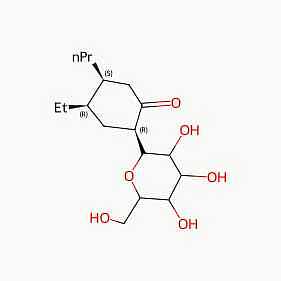 CCC[C@H]1CC(=O)[C@@H](C2OC(CO)C(O)C(O)C2O)C[C@H]1CC